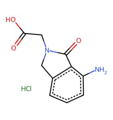 Cl.Nc1cccc2c1C(=O)N(CC(=O)O)C2